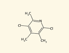 Cc1nc(Cl)c(C)c(C)c1Cl